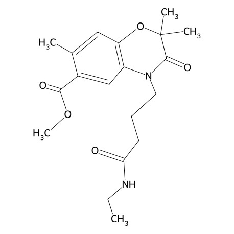 CCNC(=O)CCCN1C(=O)C(C)(C)Oc2cc(C)c(C(=O)OC)cc21